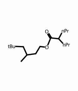 CCCC(CCC)C(=O)OCCC(C)CC(C)(C)C